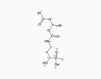 CC(C)C(=O)OC(OC(=O)NCCC(O)P(C)(=O)O)C(C)C